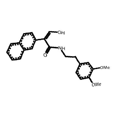 COc1ccc(CCNC(=O)/C(=C\O)c2ccc3ccccc3c2)cc1OC